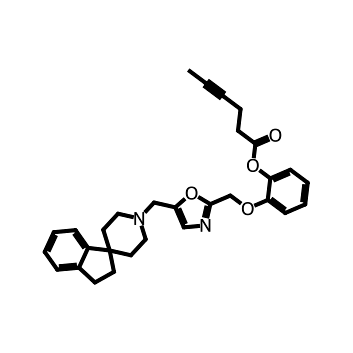 CC#CCCC(=O)Oc1ccccc1OCc1ncc(CN2CCC3(CCc4ccccc43)CC2)o1